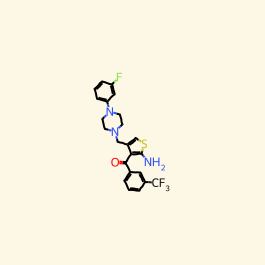 Nc1scc(CN2CCN(c3cccc(F)c3)CC2)c1C(=O)c1cccc(C(F)(F)F)c1